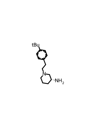 CC(C)(C)c1ccc(CCN2CCC[C@@H](N)C2)cc1